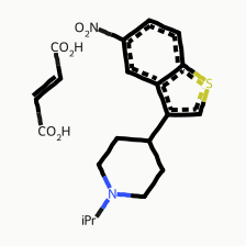 CC(C)N1CCC(c2csc3ccc([N+](=O)[O-])cc23)CC1.O=C(O)C=CC(=O)O